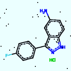 Cl.Nc1ccc2[nH]nc(-c3ccc(F)cc3)c2c1